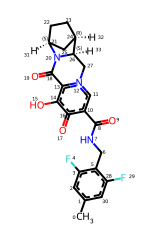 Cc1cc(F)c(CNC(=O)c2cn3c(c(O)c2=O)C(=O)N2[C@H]4CC[C@H](C4)[C@H]2C3)c(F)c1